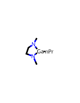 CC[CH2][Ga]1[N](C)CC[N]1C